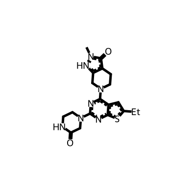 CCc1cc2c(N3CCc4c([nH]n(C)c4=O)C3)nc(N3CCNC(=O)C3)nc2s1